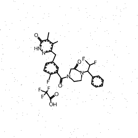 Cc1c(Cc2ccc(F)c(C(=O)N3CCN(C(c4ccccc4)C(F)F)C(=O)C3)c2)n[nH]c(=O)c1C.O=C(O)C(F)(F)F